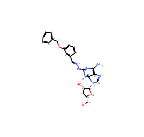 Nc1nc(N/N=C/c2cccc(OCc3ccccc3)c2)nc2c1ncn2[C@@H]1O[C@H](CO)C[C@@H]1O